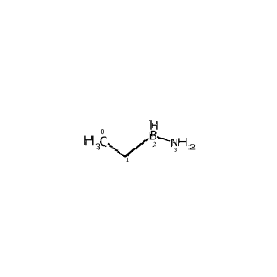 CCBN